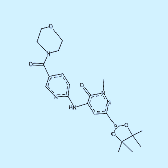 Cn1nc(B2OC(C)(C)C(C)(C)O2)cc(Nc2ccc(C(=O)N3CCOCC3)cn2)c1=O